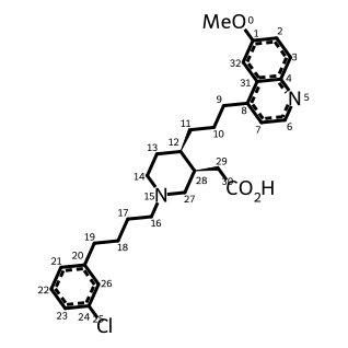 COc1ccc2nccc(CCC[C@@H]3CCN(CCCCc4cccc(Cl)c4)C[C@@H]3CC(=O)O)c2c1